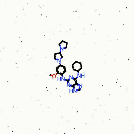 COc1cc(N2CCC(N3CCCC3)C2)ccc1Nc1nc(NC2CCCCC2)c2nc[nH]c2n1